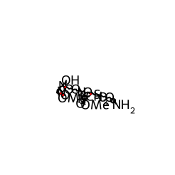 COC(=O)c1cccc(CN(CCO)CCOCCOCCN(CCOCCCSCCOCCOc2ccc(N)cc2)Cc2cc(C)cc(C(=O)OC)n2)n1